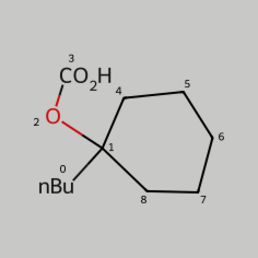 CCCCC1(OC(=O)O)CCCCC1